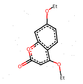 CCOc1ccc2c(OCC)cc(=O)oc2c1